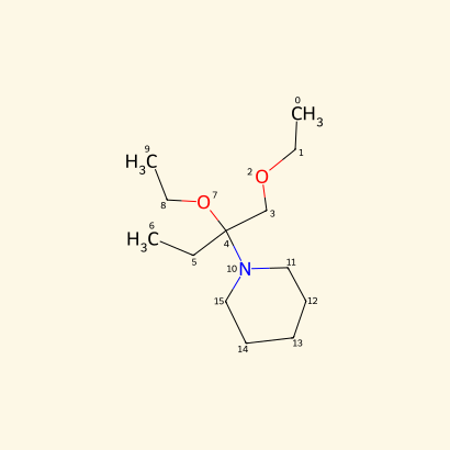 CCOCC(CC)(OCC)N1CCCCC1